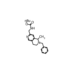 CCCCOC(=O)NCc1cc2c(cn1)CCN(Cc1ccccc1)C2C